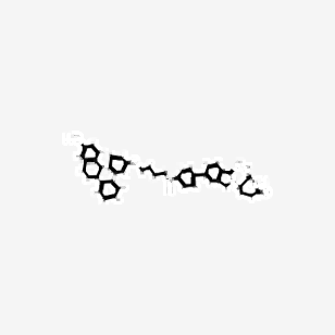 O=C1CC[C@H](N2Cc3cc(-c4ccc(NCCCCOc5ccc([C@@H]6c7ccc(O)cc7CC[C@@H]6c6ccccc6)cc5)cc4)ccc3C2=O)C(=O)N1